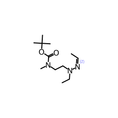 C/C=N\N(CC)CCN(C)C(=O)OC(C)(C)C